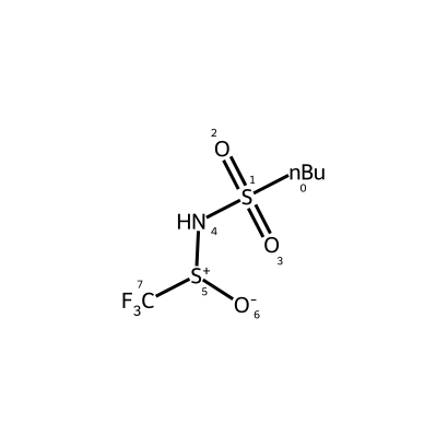 CCCCS(=O)(=O)N[S+]([O-])C(F)(F)F